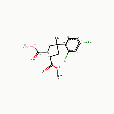 CCCOC(=O)CCC(C#N)(CCC(=O)OCCC)c1ccc(F)cc1F